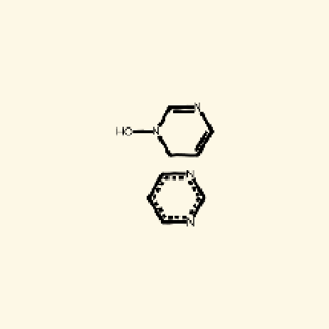 ON1C=NC=CC1.c1cncnc1